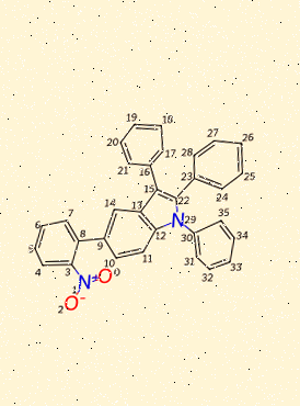 O=[N+]([O-])c1ccccc1-c1ccc2c(c1)c(-c1ccccc1)c(-c1ccccc1)n2-c1ccccc1